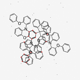 c1ccc(Oc2ccccc2N(c2cc(N(c3ccccc3Oc3ccccc3)c3ccccc3Oc3ccccc3)cc(C3(c4cc(N(c5ccccc5Oc5ccccc5)c5ccccc5Oc5ccccc5)cc(N(c5ccccc5Oc5ccccc5)c5ccccc5Oc5ccccc5)c4)c4ccccc4-c4ccccc43)c2)c2ccccc2Oc2ccccc2)cc1